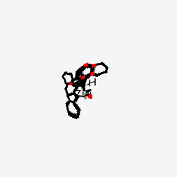 [CH3][Zr]1([CH3])[C@H]2C(C3C=CC4=C3CCCC4)=C(CCC3=C(C4C=CC5=C4CCCC5)[C@H]1c1ccccc13)c1ccccc12